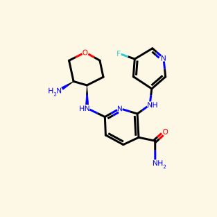 NC(=O)c1ccc(N[C@@H]2CCOC[C@@H]2N)nc1Nc1cncc(F)c1